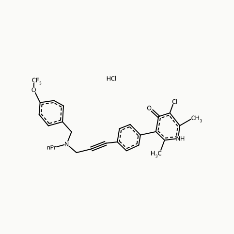 CCCN(CC#Cc1ccc(-c2c(C)[nH]c(C)c(Cl)c2=O)cc1)Cc1ccc(OC(F)(F)F)cc1.Cl